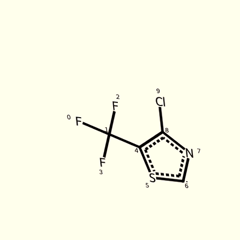 FC(F)(F)c1s[c]nc1Cl